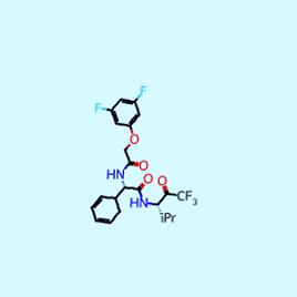 CC(C)[C@H](NC(=O)[C@@H](NC(=O)COc1cc(F)cc(F)c1)C1C=CC=CC1)C(=O)C(F)(F)F